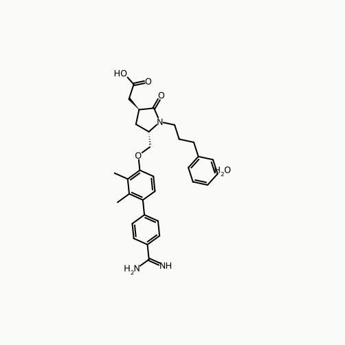 Cc1c(OC[C@@H]2C[C@@H](CC(=O)O)C(=O)N2CCCc2ccccc2)ccc(-c2ccc(C(=N)N)cc2)c1C.O